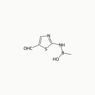 CB(O)Nc1ncc(C=O)s1